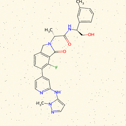 Cc1cccc([C@@H](CO)NC(=O)[C@@H](C)N2Cc3ccc(-c4ccnc(Nc5ccnn5C)c4)c(F)c3C2=O)c1